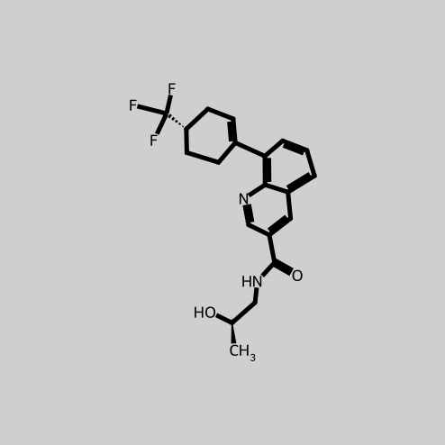 C[C@@H](O)CNC(=O)c1cnc2c(C3=CC[C@@H](C(F)(F)F)CC3)cccc2c1